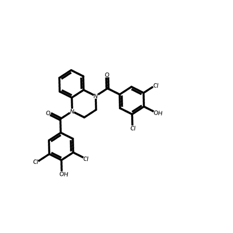 O=C(c1cc(Cl)c(O)c(Cl)c1)N1CCN(C(=O)c2cc(Cl)c(O)c(Cl)c2)c2ccccc21